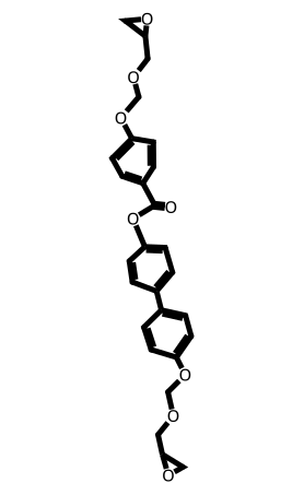 O=C(Oc1ccc(-c2ccc(OCOCC3CO3)cc2)cc1)c1ccc(OCOCC2CO2)cc1